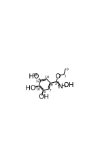 CCOC(=NO)c1cc(O)c(O)c(O)c1